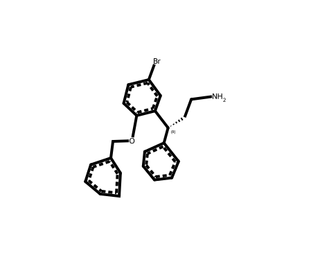 NCC[C@H](c1ccccc1)c1cc(Br)ccc1OCc1ccccc1